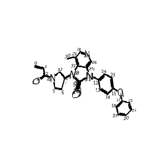 C=CC(=O)N1CCC(n2c(=O)n(-c3ccc(Oc4ccccc4)cc3)c3cncc(C)c32)C1